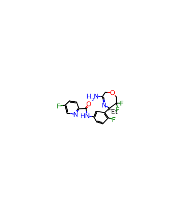 CC[C@]1(c2cc(NC(=O)c3ccc(F)cn3)ccc2F)N=C(N)COCC1(F)F